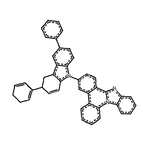 C1=CC(C2C=Cc3c(c4cc(-c5ccccc5)ccc4n3-c3ccc4c(c3)c3ccccc3n3c5ccccc5nc43)C2)=CCC1